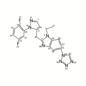 CCn1c(Cc2ccnn2-c2cc(F)ccc2F)nc2cc(-n3cnnn3)ccc21